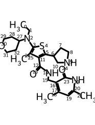 CCN(c1sc(C2CCNC2)c(C(=O)NCc2c(C)cc(C)[nH]c2=O)c1C)C1CCOCC1